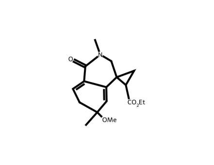 CCOC(=O)C1CC12CN(C)C(=O)C1=CCC(C)(OC)C=C12